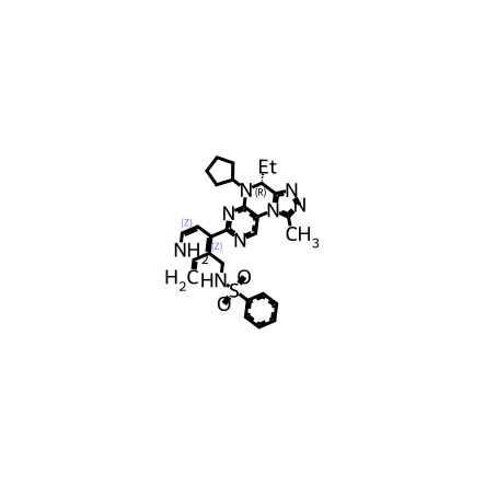 C=C/C(CNS(=O)(=O)c1ccccc1)=C(\C=C/N)c1ncc2c(n1)N(C1CCCC1)[C@H](CC)c1nnc(C)n1-2